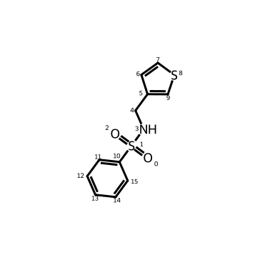 O=S(=O)(NCc1ccsc1)c1ccccc1